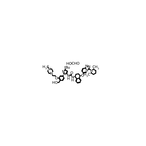 C[C@@H]1CCC[C@H](C)N1c1nnc2ccc(O[C@@H]3CC[C@H](NC(=O)Nc4cc(C(C)(C)C)nn4-c4ccc(CO)c(OCCN5CCN(C)CC5)c4)c4ccccc43)cn12.O=CO